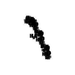 CCCn1c(SCC(=O)Nc2ccc(-c3cc(-c4nnc(SCC(=O)Nc5ccccc5)n4C4CC4)cs3)cc2)nnc1-c1csc(-c2ccc(NC(=O)C(F)Sc3nnc(-c4ccsc4)n3C(C)c3ccccc3)cc2)c1